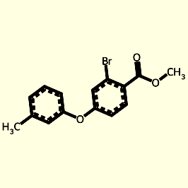 COC(=O)c1ccc(Oc2cccc(C)c2)cc1Br